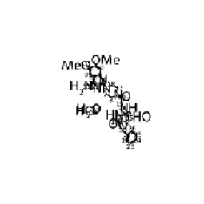 COc1cc2nc(N3CCN(C(=O)CNC(C=O)NC(=O)OCc4ccccc4)CC3)nc(N)c2cc1OC.Cl.O